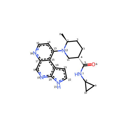 C[C@H]1CC[C@H](C(=O)NC2CC2)CN1c1ccnc2cnc3[nH]ccc3c12